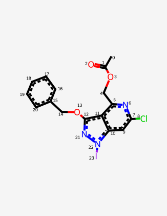 CC(=O)OCc1nc(Cl)cc2c1c(OCc1ccccc1)nn2I